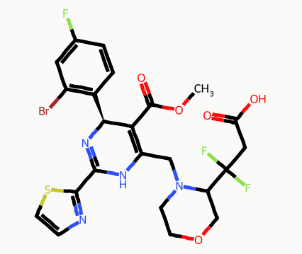 COC(=O)C1=C(CN2CCOCC2C(F)(F)CC(=O)O)NC(c2nccs2)=N[C@H]1c1ccc(F)cc1Br